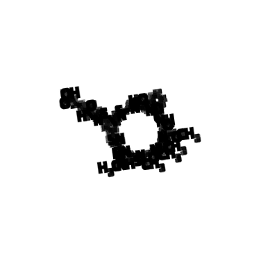 CNC(=O)C[C@@H]1NC(=O)c2csc(n2)-c2ccc(-c3nc(NC(=O)CCCCC(=O)O)cs3)nc2-c2csc(n2)-c2csc(n2)[C@H]([C@@H](O)c2ccccc2)NC(=O)CNC(=O)c2nc(sc2COC)[C@H](C(C)C)NC(=O)c2nc1sc2C